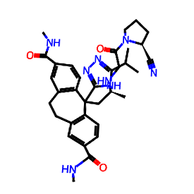 CNC(=O)c1ccc2c(c1)CCc1cc(C(=O)NC)ccc1C2(C[C@H](C)NCC(=O)N1CCC[C@H]1C#N)c1nnc(C(C)C)[nH]1